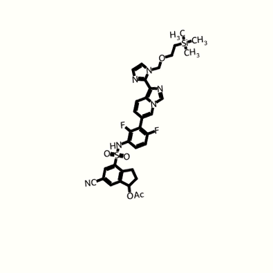 CC(=O)OC1CCc2c1cc(C#N)cc2S(=O)(=O)Nc1ccc(F)c(-c2ccc3c(-c4nccn4COCC[Si](C)(C)C)ncn3c2)c1F